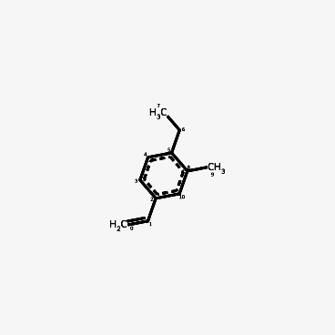 C=Cc1ccc(CC)c(C)c1